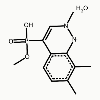 COP(=O)(O)C1=CN(C)[N]c2c1ccc(C)c2C.O